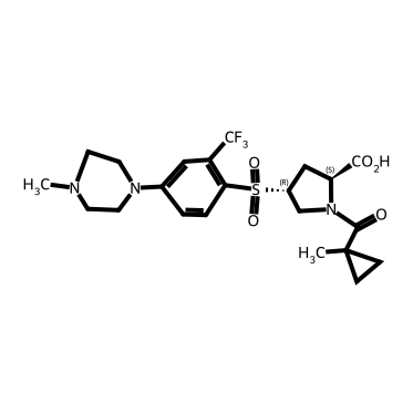 CN1CCN(c2ccc(S(=O)(=O)[C@@H]3C[C@@H](C(=O)O)N(C(=O)C4(C)CC4)C3)c(C(F)(F)F)c2)CC1